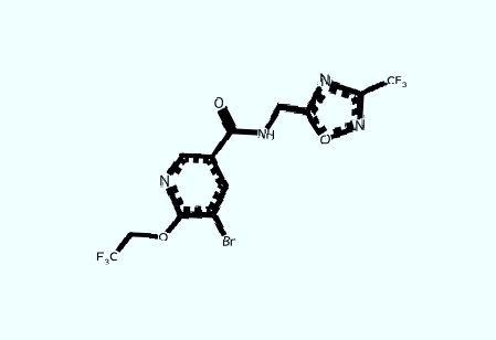 O=C(NCc1nc(C(F)(F)F)no1)c1cnc(OCC(F)(F)F)c(Br)c1